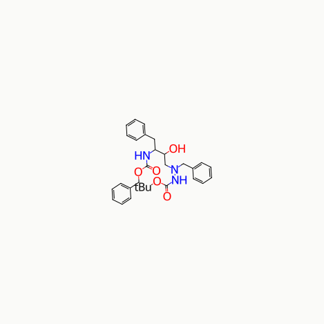 CC(C)(C)OC(=O)NN(Cc1ccccc1)CC(O)C(Cc1ccccc1)NC(=O)OCc1ccccc1